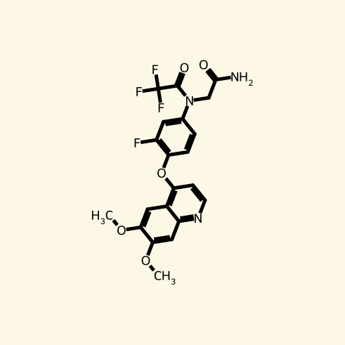 COc1cc2nccc(Oc3ccc(N(CC(N)=O)C(=O)C(F)(F)F)cc3F)c2cc1OC